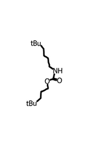 CC(C)(C)CCCCNC(=O)OCCCC(C)(C)C